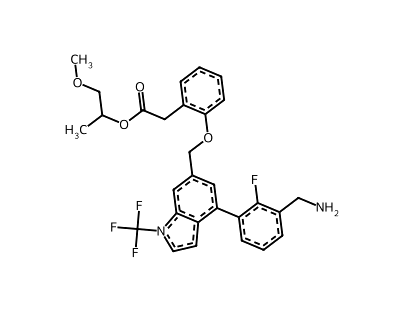 COCC(C)OC(=O)Cc1ccccc1OCc1cc(-c2cccc(CN)c2F)c2ccn(C(F)(F)F)c2c1